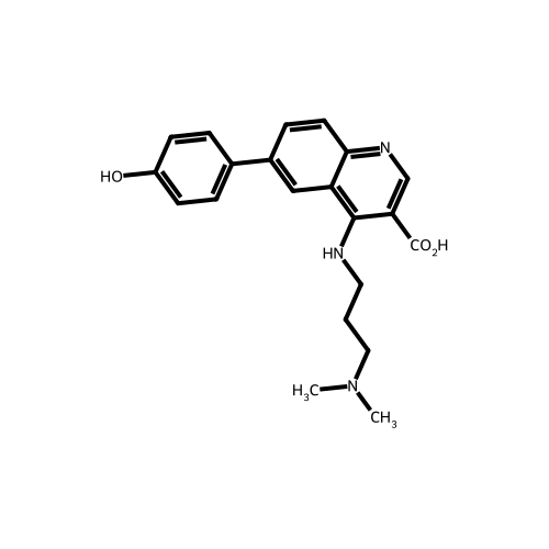 CN(C)CCCNc1c(C(=O)O)cnc2ccc(-c3ccc(O)cc3)cc12